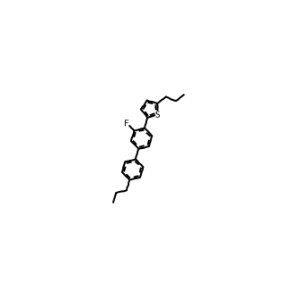 CCCc1ccc(-c2ccc(-c3ccc(CCC)s3)c(F)c2)cc1